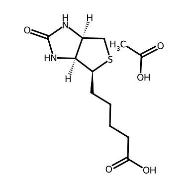 CC(=O)O.O=C(O)CCCC[C@@H]1SC[C@@H]2NC(=O)N[C@@H]21